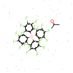 CC(C)=O.Fc1c(F)c(F)c([B-](c2c(F)c(F)c(F)c(F)c2F)(c2c(F)c(F)c(F)c(F)c2F)c2c(F)c(F)c(F)c(F)c2F)c(F)c1F